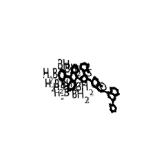 Bc1c(B)c(B)c(-c2c3ccccc3c(-c3ccc(-c4ccc5oc(-c6cc(-c7ccccc7)cc7ccccc67)cc5c4)c4sc5ccccc5c34)c3c(B)c(B)c(B)c(B)c23)c(B)c1B